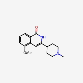 COc1cccc2c(=O)[nH]c(C3CCN(C)CC3)cc12